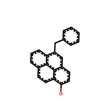 [O]c1ccc2cc(Cc3ccccc3)c3cccc4ccc1c2c43